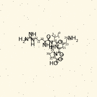 CC[C@H](C)[C@H](NC(=O)[C@@H](N)CCCNC(=N)N)C(=O)N[C@@H](CCCCN)C(=O)N1CCC[C@H]1C(=O)O